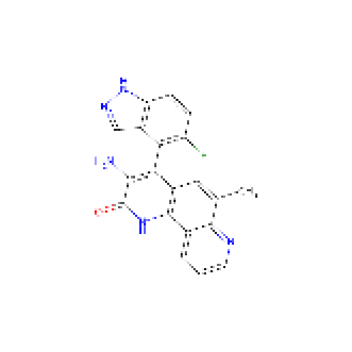 Cc1cc2c(-c3c(F)ccc4[nH]ncc34)c(N)c(=O)[nH]c2c2cccnc12